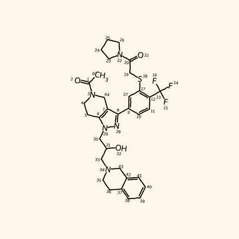 CC(=O)N1CCc2c(c(-c3ccc(C(F)(F)F)c(SCC(=O)N4CCCC4)c3)nn2CC(O)CN2CCc3ccccc3C2)C1